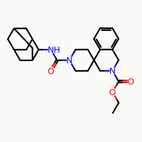 CCOC(=O)N1Cc2ccccc2C2(CCN(C(=O)NC3C4CC5CC(C4)CC3C5)CC2)C1